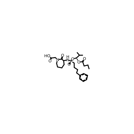 CCCC(=O)O[C@@H](OP(=O)(CCCCc1ccccc1)NC1CCCCN(CC(=O)O)C1=O)C(C)C